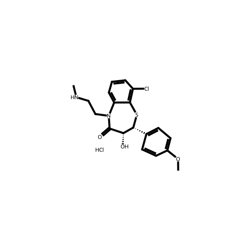 CNCCN1C(=O)[C@@H](O)[C@@H](c2ccc(OC)cc2)Sc2c(Cl)cccc21.Cl